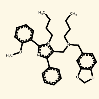 CCCCN(Cc1ccc2c(c1)OCO2)Cc1c(-c2ccccc2)nc(-c2ccccc2OC)n1CCCC